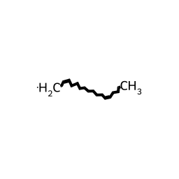 [CH2]C/C=C\CCCCCCCC/C=C\CCCC